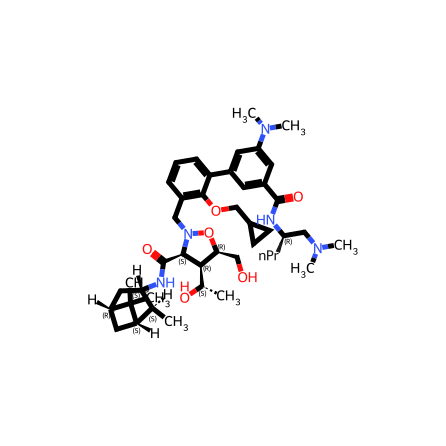 CCC[C@H](CN(C)C)NC(=O)c1cc(-c2cccc(CN3O[C@@H](CO)[C@@H]([C@H](C)O)[C@H]3C(=O)N[C@H]3C[C@H]4C[C@@H]([C@@H]3C)C4(C)C)c2OCC2CC2)cc(N(C)C)c1